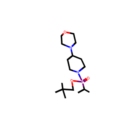 CC(C)P(=O)(OCC(C)(C)C)N1CCC(N2CCOCC2)CC1